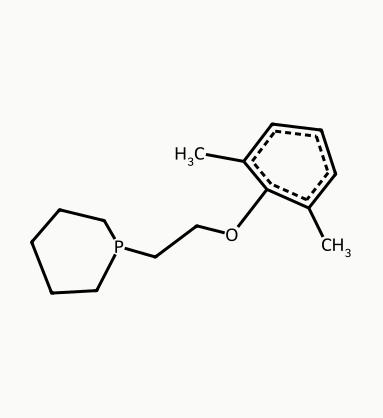 Cc1cccc(C)c1OCCP1CCCCC1